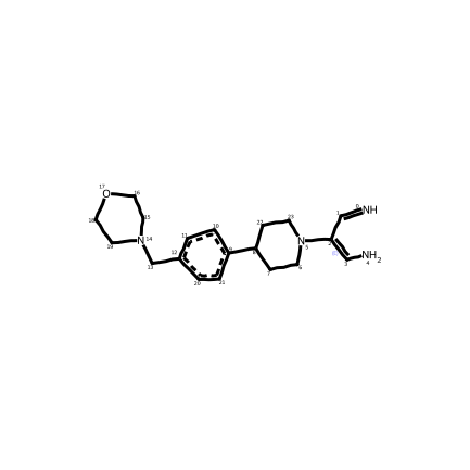 N=C/C(=C\N)N1CCC(c2ccc(CN3CCOCC3)cc2)CC1